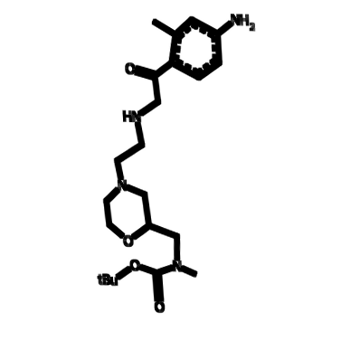 Cc1cc(N)ccc1C(=O)CNCCN1CCOC(CN(C)C(=O)OC(C)(C)C)C1